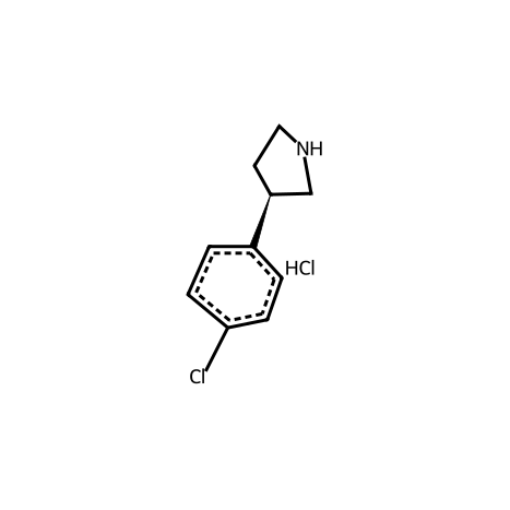 Cl.Clc1ccc([C@H]2CCNC2)cc1